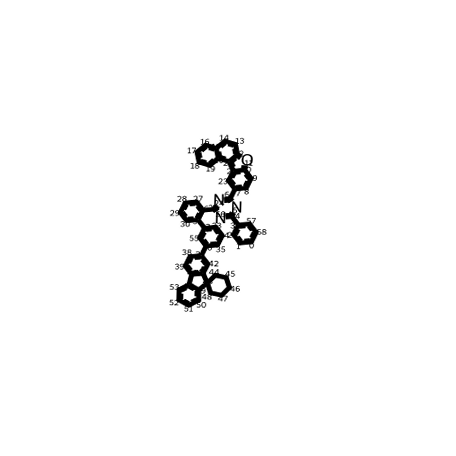 c1ccc(-c2nc(-c3ccc4oc5ccc6ccccc6c5c4c3)nc(-c3ccccc3-c3cccc(-c4ccc5c(c4)C4(CCCCC4)c4ccccc4-5)c3)n2)cc1